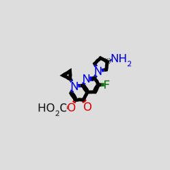 N[C@H]1CCN(c2nc3c(cc2F)c(=O)c(OC(=O)O)cn3C2CC2)C1